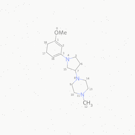 COC1=CC(N2CCC(N3CCN(C)CC3)C2)=CC[CH]1